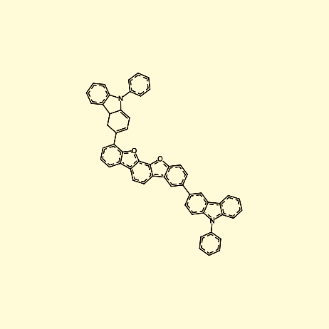 C1=C(c2cccc3c2oc2c3ccc3c4cc(-c5ccc6c(c5)c5ccccc5n6-c5ccccc5)ccc4oc32)CC2C(=C1)N(c1ccccc1)c1ccccc12